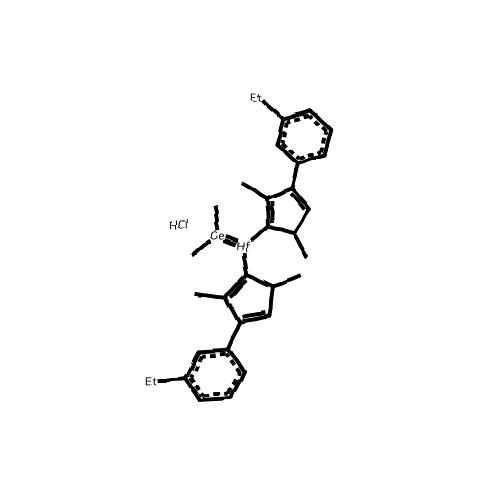 CCc1cccc(C2=CC(C)[C]([Hf]([C]3=C(C)C(c4cccc(CC)c4)=CC3C)=[Ge]([CH3])[CH3])=C2C)c1.Cl